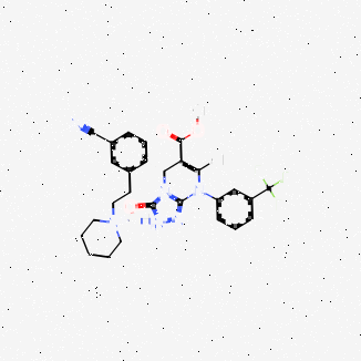 COC(=O)C1=C(C)N(c2cccc(C(F)(F)F)c2)c2n[nH]c(=O)n2[C@@H]1c1ccc(C#N)cc1CC[N+]1(C)CCCCC1